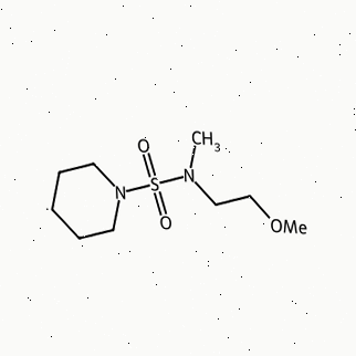 COCCN(C)S(=O)(=O)N1CC[CH]CC1